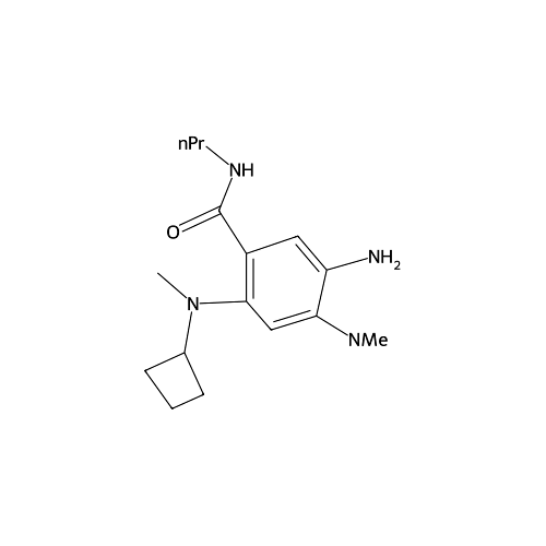 CCCNC(=O)c1cc(N)c(NC)cc1N(C)C1CCC1